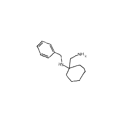 NCC1(NCc2ccccc2)CCCCC1